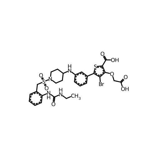 CCNC(=O)Nc1ccccc1CS(=O)(=O)N1CCC(Nc2cccc(-c3sc(C(=O)O)c(OCC(=O)O)c3Br)c2)CC1